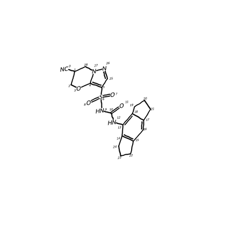 N#CC1COc2c(S(=O)(=O)NC(=O)Nc3c4c(cc5c3CCC5)CCC4)cnn2C1